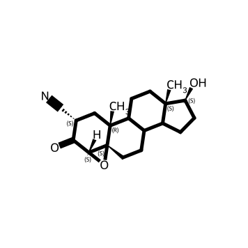 C[C@]12CCC3C(CC[C@@]45O[C@@H]4C(=O)[C@H](C#N)C[C@]35C)C1CC[C@@H]2O